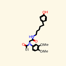 CCC(=O)N(CC(=O)NCCCCCc1ccc(O)cc1)c1ccc(OC)c(OC)c1